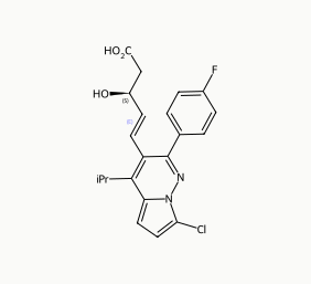 CC(C)c1c(/C=C/[C@@H](O)CC(=O)O)c(-c2ccc(F)cc2)nn2c(Cl)ccc12